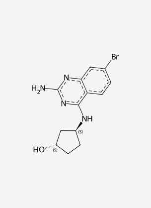 Nc1nc(N[C@H]2CC[C@H](O)C2)c2ccc(Br)cc2n1